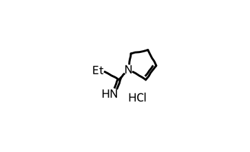 CCC(=N)N1C=CCC1.Cl